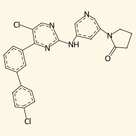 O=C1CCCN1c1cncc(Nc2ncc(Cl)c(-c3cccc(-c4ccc(Cl)cc4)c3)n2)c1